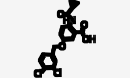 O=C(O)c1cc(OCc2ccc(Cl)c(Cl)c2)ccc1NC(=O)C1CC1